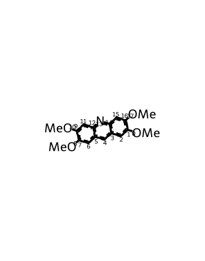 COc1cc2cc3cc(OC)c(OC)cc3nc2cc1OC